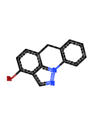 Brc1ccc2c3c1cnn3-c1ccccc1C2